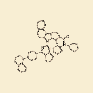 O=c1c2ccc3c4c5ccccc5ccc4n(-c4nc(-c5ccc(-c6cccc7ccccc67)cc5)c5ccccc5n4)c3c2c2ccccc2n1-c1ccccc1